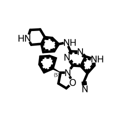 N#Cc1c[nH]c2nc(Nc3ccc4c(c3)CCNC4)nc(N3OCC[C@H]3c3ccccc3)c12